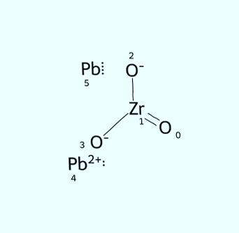 [O]=[Zr]([O-])[O-].[Pb+2].[Pb]